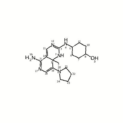 CC12NC(NC3CCC(O)CC3)=NC=C1C(N)=NC=C2N1CCCC1